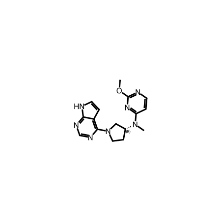 COc1nccc(N(C)[C@@H]2CCN(c3ncnc4[nH]ccc34)C2)n1